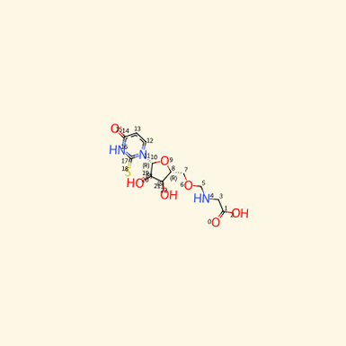 O=C(O)CNCOC[C@H]1O[C@@H](n2ccc(=O)[nH]c2=S)[C@H](O)[C@@H]1O